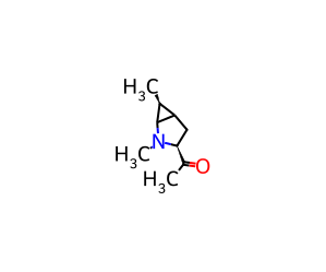 CC(=O)[C@@H]1CC2C([C@H]2C)N1C